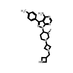 Cc1ccc(-c2nn(C3CCN(C4CN(CC5CNC5)C4)C[C@@H]3F)c3ncnc(N)c23)cc1